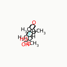 C[C@@H]1C[C@H]2[C@@H]3C[C@H](C)C4=CC(=O)C=C[C@]4(C)[C@@]3(F)C=C[C@]2(C)[C@@]1(O)C(=O)CO